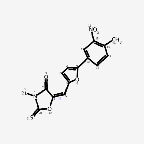 CCN1C(=O)/C(=C\c2ccc(-c3ccc(C)c([N+](=O)[O-])c3)o2)OC1=S